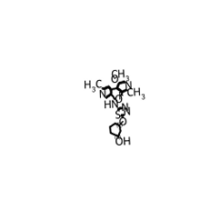 COc1cnc(C)c(F)c1-c1cc(C)ncc1C(=O)Nc1nnc(O[C@@H]2CCC[C@@H](O)C2)s1